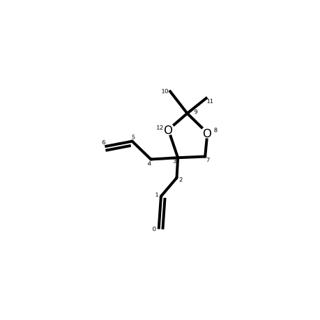 C=CCC1(CC=C)COC(C)(C)O1